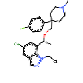 C[C@@H](OCC1(c2ccc(F)cc2)CCN(C)CC1)c1cc(Cl)cc2cnn(CC#N)c12